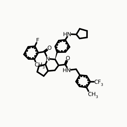 Cc1ccc(CNC(=O)C2CC3CCCC3N(C(=O)c3c(C)cccc3F)[C@H]2c2ccc(NC3CCCC3)cc2)cc1C(F)(F)F